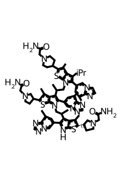 Cc1c([C@H]2CCN(CC(N)=O)C2)sc2[nH]c(-c3cc(C)c4ncnn4c3)c(C(C)Cn3c(-c4cc(C)c5ncnn5c4)c(C(C)Cn4c(-c5cc(C)c6nccn6c5)c(C(C)C)c5c(C)c(C6CCN(CC(N)=O)CC6)sc54)c4c(C)c(C5CCN(CC(N)=O)C5)sc43)c12